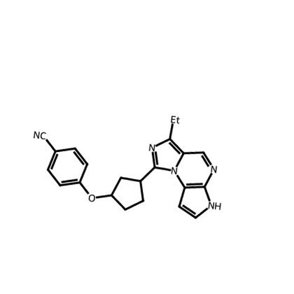 CCc1nc(C2CCC(Oc3ccc(C#N)cc3)C2)n2c1cnc1[nH]ccc12